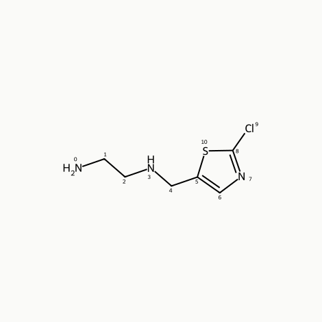 NCCNCc1cnc(Cl)s1